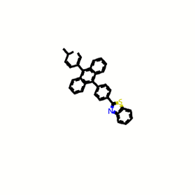 C/C=C(\C=C/C(C)C)c1c2ccccc2c(-c2ccc(-c3nc4ccccc4s3)cc2)c2ccccc12